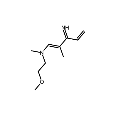 C=CC(=N)/C(C)=C/N(C)CCOC